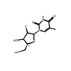 Cc1cn(C2O[C@@H](CO)C(O)C2F)c(=O)[nH]c1=O